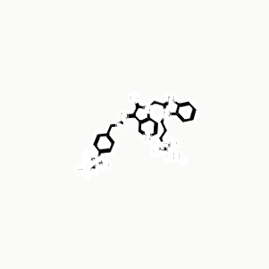 CS(=O)(=O)CCCn1c(CN2C(=O)/C(=N/OCc3ccc(S(C)(=O)=O)cc3)c3cnccc32)nc2ccccc21